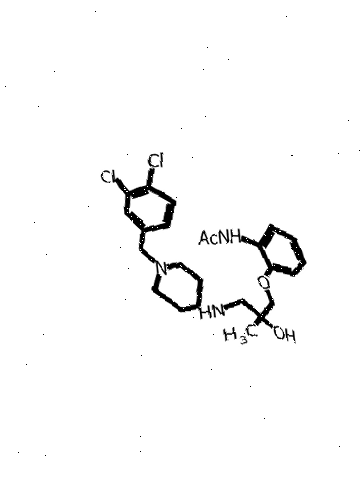 CC(=O)Nc1ccccc1OCC(C)(O)CNC1CCN(Cc2ccc(Cl)c(Cl)c2)CC1